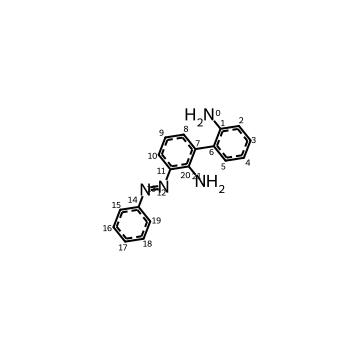 Nc1ccccc1-c1cccc(N=Nc2ccccc2)c1N